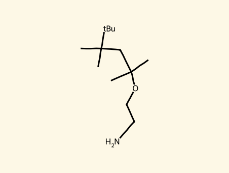 CC(C)(CC(C)(C)C(C)(C)C)OCCN